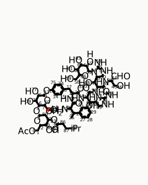 CC(=O)OCC1OC(OC2C(CO)OC(Oc3ccc(CC(NC(=O)C(N)C(C)c4ccccc4)C(=O)NC(C(=O)NC(C(=O)NC([C]=O)CO)C(O)C4CNC(=N)N4C4OC(CO)C(O)C(O)C4O)C(O)C4CNC(=N)N4)cc3)C(O)C2O)C(O)C(OC(=O)CCC(C)C)C1O